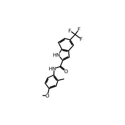 COc1ccc(NC(=O)c2cc3cc(C(F)(F)F)ccc3[nH]2)c(C)c1